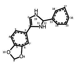 C1=C(c2ccc3c(c2)OCO3)NC(c2ccccc2)N1